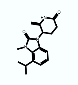 C=C1NC(=O)CCC1n1c(=O)n(C)c2c(C(C)C)cccc21